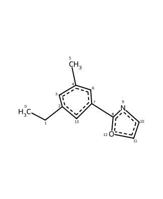 CCc1[c]c(C)cc(-c2ncco2)c1